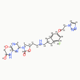 O=C1COc2ncc(N3CC(CCNCC4Cc5cc(OCCn6ccnn6)cc(F)c5C4)OC3=O)nc2N1